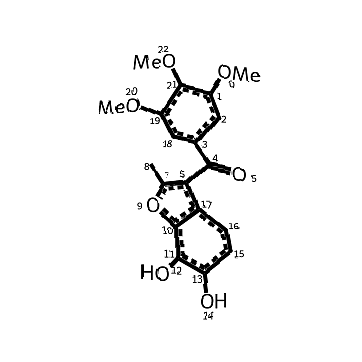 COc1cc(C(=O)c2c(C)oc3c(O)c(O)ccc23)cc(OC)c1OC